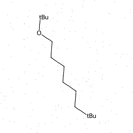 CC(C)(C)CCCCCCOC(C)(C)C